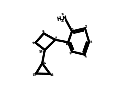 Nc1ccccc1C1CCC1C1CC1